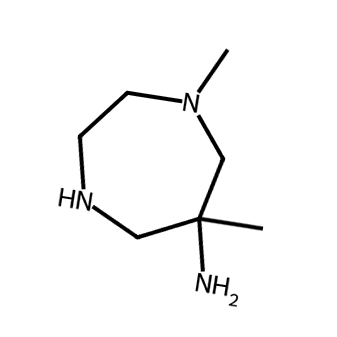 CN1CCNCC(C)(N)C1